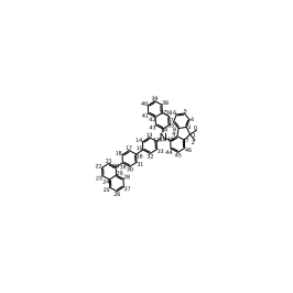 CC1(C)c2ccccc2-c2c(N(c3ccc(-c4ccc(-c5cccc6ccccc56)cc4)cc3)c3ccc4ccccc4c3)cccc21